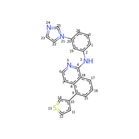 c1cc(Nc2nccc3c(-c4ccsc4)cccc23)cc(-n2ccnc2)c1